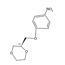 O=[N+]([O-])c1ccc(OC[C@@H]2COCCO2)cc1